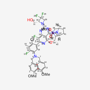 COc1ccc(CN(Cc2ccc(OC)cc2)c2cc(-c3nc4c5c(nc(N6CC(F)(F)[C@H]6CO)nc5c3F)N3C[C@H]5CC[C@@H]([C@H]3[C@H](C)O4)N5C(=O)OC(C)(C)C)c(C(F)(F)F)c(C)c2F)cc1